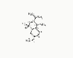 C=C(C)C1=NS(=O)(=O)c2cc(OC)ccc2N1C